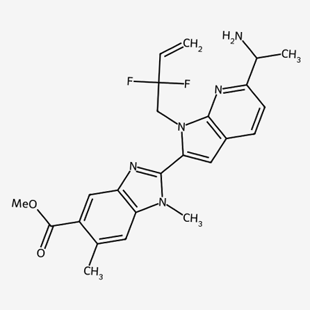 C=CC(F)(F)Cn1c(-c2nc3cc(C(=O)OC)c(C)cc3n2C)cc2ccc(C(C)N)nc21